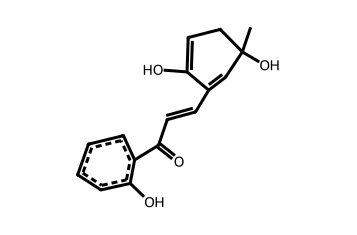 CC1(O)C=C(C=CC(=O)c2ccccc2O)C(O)=CC1